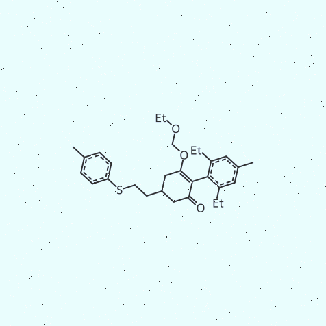 CCOCOC1=C(c2c(CC)cc(C)cc2CC)C(=O)CC(CCSc2ccc(C)cc2)C1